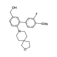 N#Cc1ccc(-c2cc(CO)ccc2N2CCC3(CCOC3)CC2)cc1F